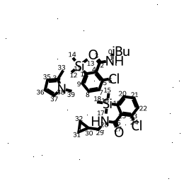 CCC(C)NC(=O)c1c(Cl)cccc1[Si](C)(C)C.C[Si](C)(C)c1cccc(Cl)c1C(=O)NCC1CC1.Cc1cccn1C